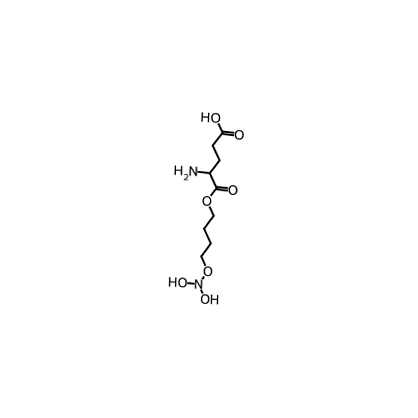 NC(CCC(=O)O)C(=O)OCCCCON(O)O